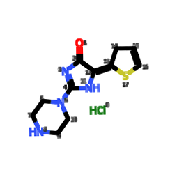 Cl.O=C1N=C(N2CCNCC2)NC1=C1CC=CS1